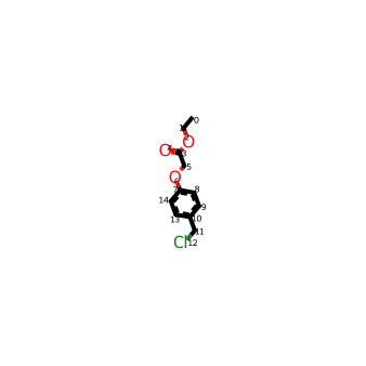 CCOC(=O)COc1ccc(CCl)cc1